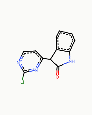 O=C1Nc2ccccc2C1c1ccnc(Cl)n1